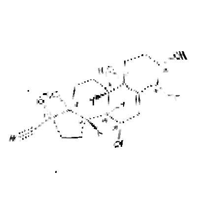 C#C[C@]1(O)CC[C@H]2[C@@H]3[C@@H](O)C=C4[C@@H](F)[C@@H](O)CC[C@]4(C)[C@H]3CC[C@@]21C